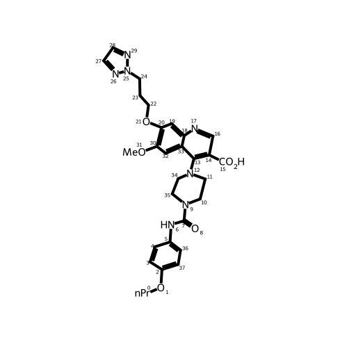 CCCOc1ccc(NC(=O)N2CCN(c3c(C(=O)O)cnc4cc(OCCCn5nccn5)c(OC)cc34)CC2)cc1